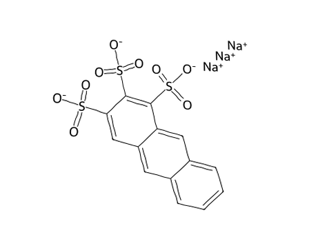 O=S(=O)([O-])c1cc2cc3ccccc3cc2c(S(=O)(=O)[O-])c1S(=O)(=O)[O-].[Na+].[Na+].[Na+]